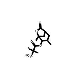 CC1CC2CC(C)(OC2=O)C1OC(=O)C(F)(F)S(=O)(=O)O